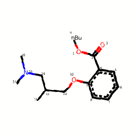 CCCCOC(=O)c1ccccc1OCC(C)CN(C)C